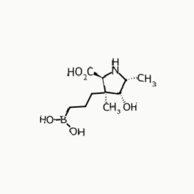 C[C@H]1N[C@H](C(=O)O)[C@](C)(CCCB(O)O)[C@H]1O